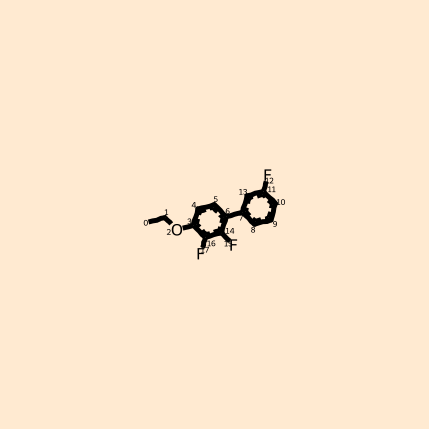 CCOc1ccc(-c2cccc(F)c2)c(F)c1F